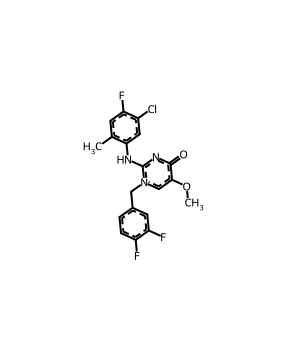 COc1cn(Cc2ccc(F)c(F)c2)c(Nc2cc(Cl)c(F)cc2C)nc1=O